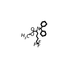 CCOC(=O)C(CCCCC(F)(F)F)N=C(c1ccccc1)c1ccccc1